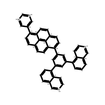 c1cc(-c2cc(-c3cccc4cnccc34)cc(-c3ccc4ccc5c(-c6cncnc6)ccc6ccc3c4c65)c2)c2ccncc2c1